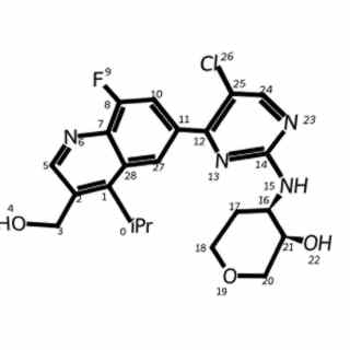 CC(C)c1c(CO)cnc2c(F)cc(-c3nc(N[C@@H]4CCOC[C@@H]4O)ncc3Cl)cc12